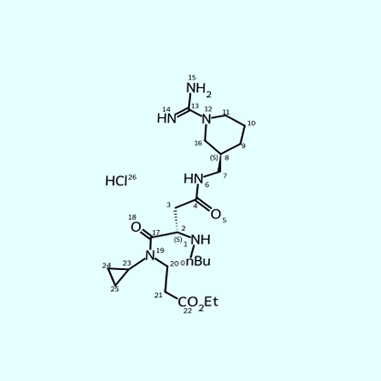 CCCCN[C@@H](CC(=O)NC[C@@H]1CCCN(C(=N)N)C1)C(=O)N(CCC(=O)OCC)C1CC1.Cl